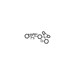 CC1(c2ccccc2)NNC(c2ccc3c(c2)Oc2ccccc2C32c3ccccc3-c3ccccc32)S1